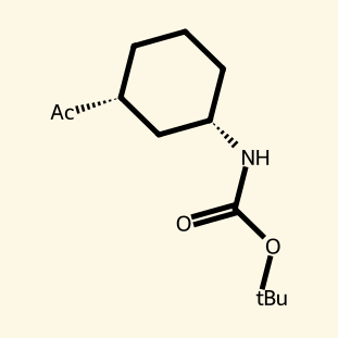 CC(=O)[C@@H]1CCC[C@H](NC(=O)OC(C)(C)C)C1